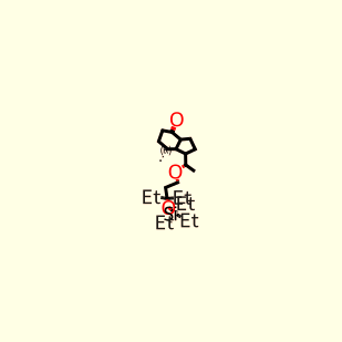 CCC(CC)(CCOC(C)C1CCC2C(=O)CC[C@@H](C)C21)O[Si](CC)(CC)CC